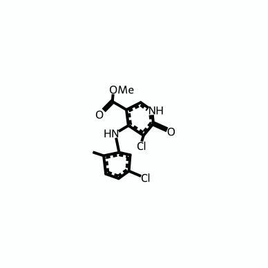 COC(=O)c1c[nH]c(=O)c(Cl)c1Nc1cc(Cl)ccc1C